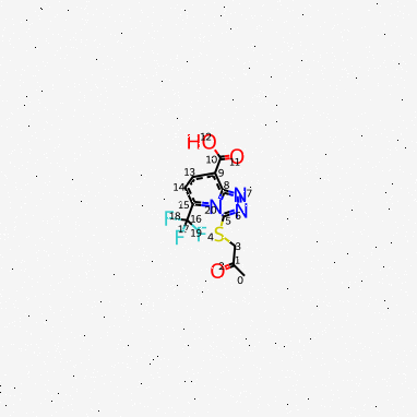 CC(=O)CSc1nnc2c(C(=O)O)ccc(C(F)(F)F)n12